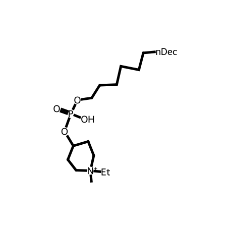 CCCCCCCCCCCCCCCCOP(=O)(O)OC1CC[N+](C)(CC)CC1